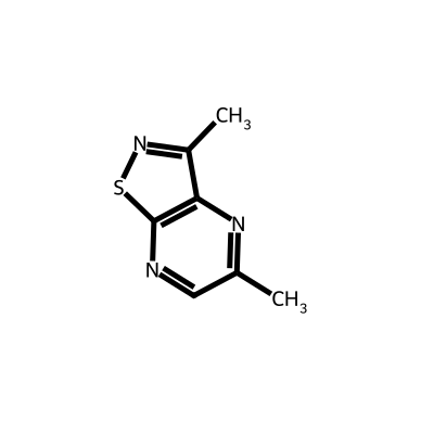 Cc1cnc2snc(C)c2n1